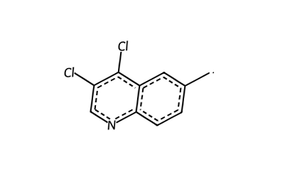 [CH2]c1ccc2ncc(Cl)c(Cl)c2c1